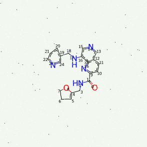 O=C(NCC1=CCCO1)c1ccc2cncc(NCc3cccnc3)c2n1